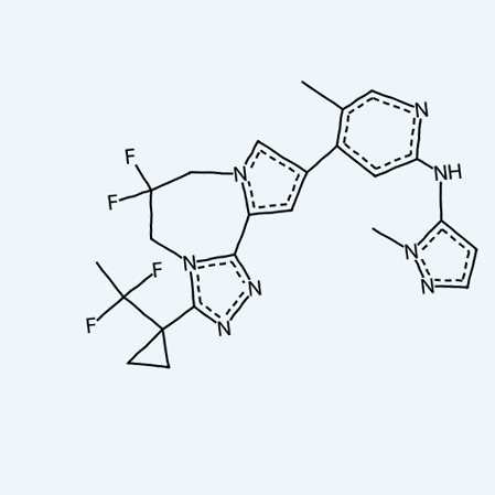 Cc1cnc(Nc2ccnn2C)cc1-c1cc2n(c1)CC(F)(F)Cn1c-2nnc1C1(C(C)(F)F)CC1